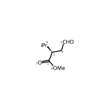 COC(=O)[C@H](CC=O)C(C)C